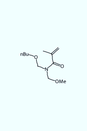 C=C(C)C(=O)N(COC)COCCCC